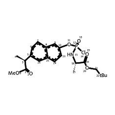 COC(=O)[C@@H](C)c1ccc2cc(OP(=O)(Cl)N[C@@H](C)C(=O)OCC(C)(C)C)ccc2c1